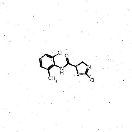 Cc1cccc(Cl)c1NC(=O)C1CN=C(Cl)S1